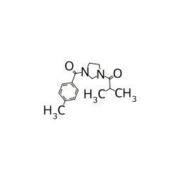 Cc1ccc(C(=O)N2CCN(C(=O)C(C)C)C2)cc1